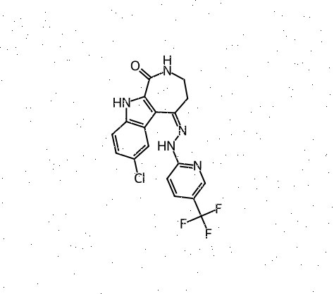 O=C1NCC/C(=N/Nc2ccc(C(F)(F)F)cn2)c2c1[nH]c1ccc(Cl)cc21